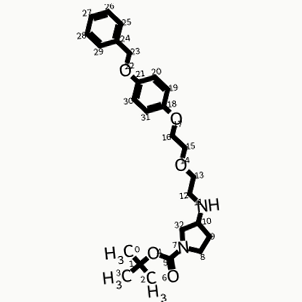 CC(C)(C)OC(=O)N1CCC(NCCOCCOc2ccc(OCc3ccccc3)cc2)C1